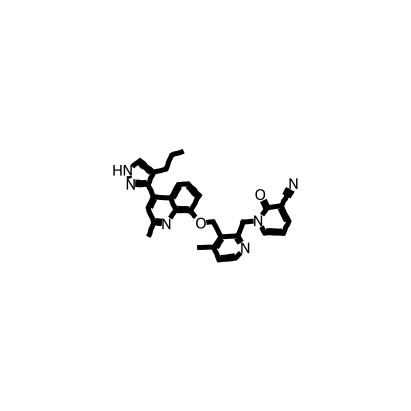 CCCc1c[nH]nc1-c1cc(C)nc2c(OCc3c(C)ccnc3Cn3cccc(C#N)c3=O)cccc12